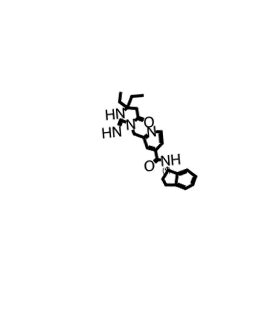 CCC1(CC)CC(=O)N(Cc2cc(C(=O)N[C@H]3CCc4ccccc43)ccn2)C(=N)N1